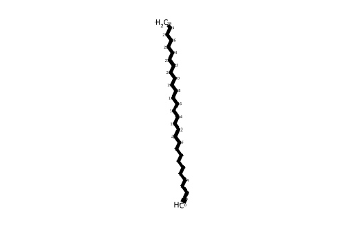 C#CCCCCCCCCCCCCCCCCCCCCCCCCCCC[CH2]